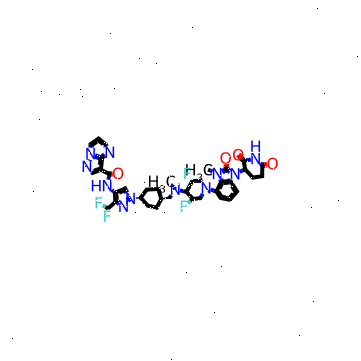 CN(C[C@H]1CC[C@H](n2cc(NC(=O)c3cnn4cccnc34)c(C(F)F)n2)CC1)C1C(F)CN(c2cccc3c2n(C)c(=O)n3C2CCC(=O)NC2=O)CC1F